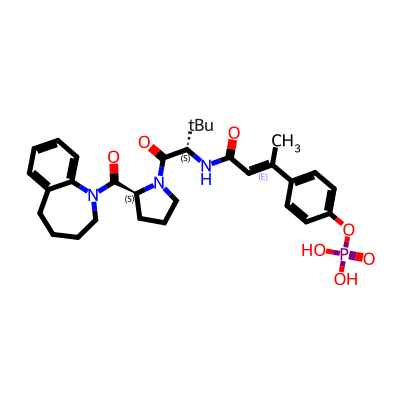 C/C(=C\C(=O)N[C@H](C(=O)N1CCC[C@H]1C(=O)N1CCCCc2ccccc21)C(C)(C)C)c1ccc(OP(=O)(O)O)cc1